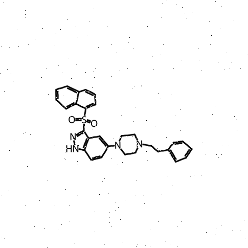 O=S(=O)(c1cccc2ccccc12)c1n[nH]c2ccc(N3CCN(CCc4ccccc4)CC3)cc12